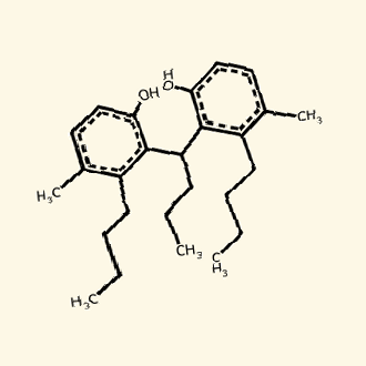 CCCCc1c(C)ccc(O)c1C(CCC)c1c(O)ccc(C)c1CCCC